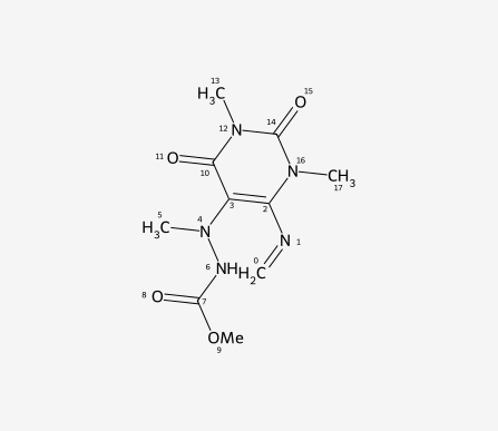 C=Nc1c(N(C)NC(=O)OC)c(=O)n(C)c(=O)n1C